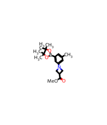 COC(=O)C1CN(c2cc(C)cc(B3OC(C)(C)C(C)(C)O3)c2)C1